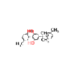 CC1=CC[C@@H](C(C)C)[C@H](c2c(O)cc(C(C)(C)c3cccc(C)c3)cc2O)C1